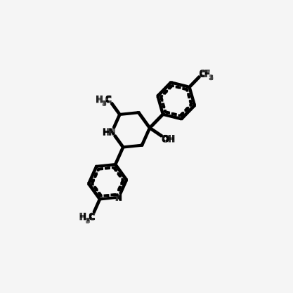 Cc1ccc(C2CC(O)(c3ccc(C(F)(F)F)cc3)CC(C)N2)cn1